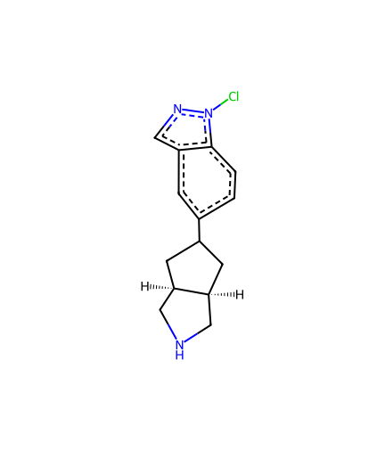 Cln1ncc2cc(C3C[C@H]4CNC[C@H]4C3)ccc21